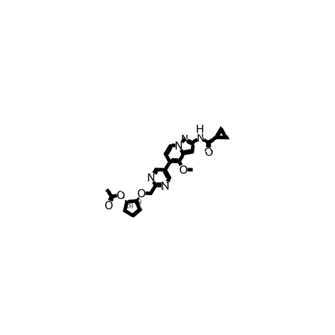 COc1c(-c2cnc(CO[C@H]3CCC[C@@H]3OC(C)=O)nc2)ccn2nc(NC(=O)C3CC3)cc12